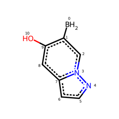 Bc1cn2nccc2cc1O